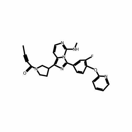 CC#CC(=O)N1CCC(c2nc(-c3ccc(Oc4ccccn4)c(F)c3)n3c(NC)nccc23)C1